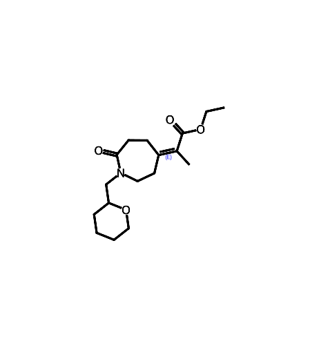 CCOC(=O)/C(C)=C1\CCC(=O)N(CC2CCCCO2)CC1